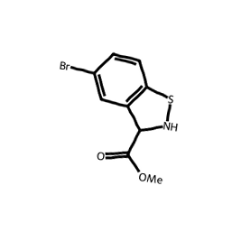 COC(=O)C1NSc2ccc(Br)cc21